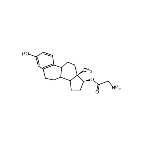 C[C@]12CCC3c4ccc(O)cc4CCC3C1CC[C@@H]2OC(=O)CN